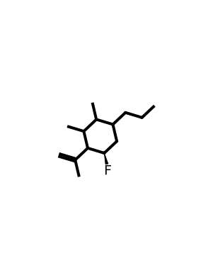 C=C(C)C1C(C)C(C)C(CCC)C[C@H]1F